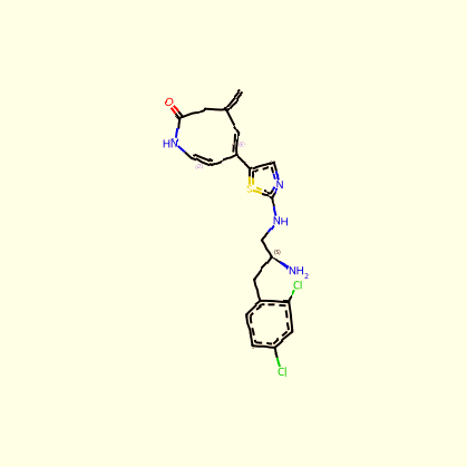 C=C1/C=C(c2cnc(NC[C@@H](N)Cc3ccc(Cl)cc3Cl)s2)\C=C/NC(=O)C1